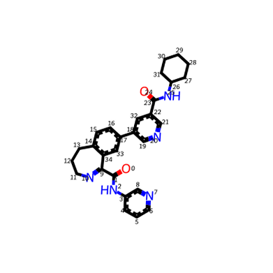 O=C(Nc1cccnc1)C1=NCCCc2ccc(-c3cncc(C(=O)NC4CCCCC4)c3)cc21